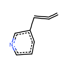 C=C=Cc1cccnc1